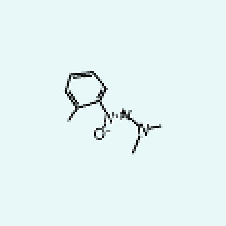 Cc1ccccc1[N+]([O-])=NN(C)C